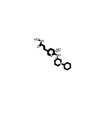 Cl.Cl.O=C(C=Cc1ccc(N[C@@H]2CCCN(C3CCCCC3)C2)nc1)NO